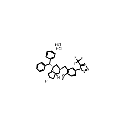 COc1ccc(-n2nnnc2C(F)(F)F)cc1CN1C[C@@H]2C[C@H](F)CN2[C@H](C(c2ccccc2)c2ccccc2)C1.Cl.Cl